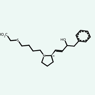 O=C(O)CSCCCCN1CCC[C@@H]1C=CC(O)Cc1ccccc1